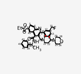 CCS(=O)(=O)c1ccc2nc(-c3cccc(CF)c3)c(CN3CCC(N4CCOCC4)CC3)c(C(=O)N[C@@H](C)c3ccccc3)c2c1